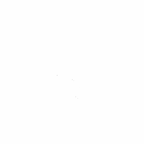 Cc1cc(Nc2ccc(F)cc2)nc(Cl)n1